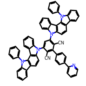 N#Cc1c(-n2c3ccccc3c3c2ccc2c4ccccc4n(-c4ccccc4)c23)cc(-n2c3ccccc3c3c2ccc2c4ccccc4n(-c4ccccc4)c23)c(C#N)c1-c1ccc(-c2ccccn2)cc1